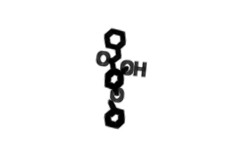 O=C(CC1CCCCC1)c1ccc(OCc2ccccc2)cc1O